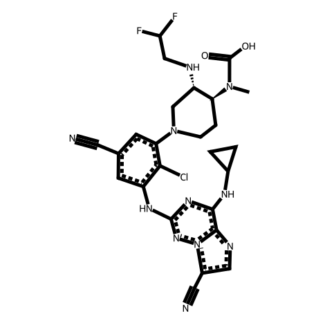 CN(C(=O)O)[C@H]1CCN(c2cc(C#N)cc(Nc3nc(NC4CC4)c4ncc(C#N)n4n3)c2Cl)C[C@@H]1NCC(F)F